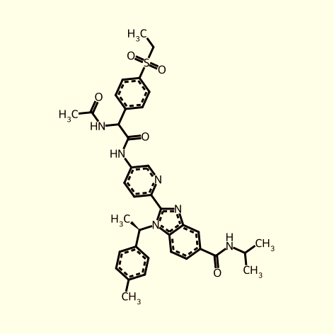 CCS(=O)(=O)c1ccc(C(NC(C)=O)C(=O)Nc2ccc(-c3nc4cc(C(=O)NC(C)C)ccc4n3[C@H](C)c3ccc(C)cc3)nc2)cc1